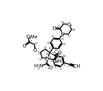 C#Cc1ccc([N+]2(C(N)=O)C[C@H](OCC(=O)OC)C[C@]2(C(N)=O)c2ccc(N3CCOCC3=O)cc2)cc1